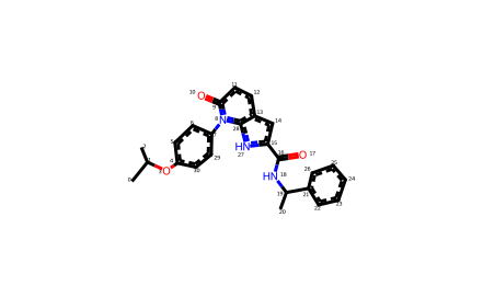 CC(C)Oc1ccc(-n2c(=O)ccc3cc(C(=O)NC(C)c4ccccc4)[nH]c32)cc1